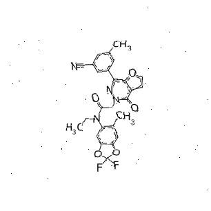 CCN(C(=O)Cn1nc(-c2cc(C)cc(C#N)c2)c2occc2c1=O)c1cc2c(cc1C)OC(F)(F)O2